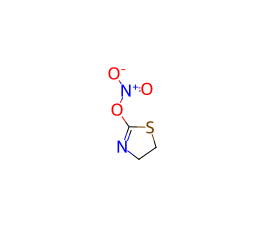 O=[N+]([O-])OC1=NCCS1